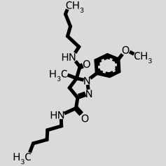 CCCCCNC(=O)C1=NN(c2ccc(OC)cc2)C(C)(C(=O)NCCCCC)C1